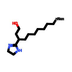 CCCCCCCCCCCCCCCCC(CCO)C1=NCCN1